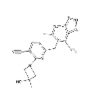 Cc1nc2nonc2c(N)c1Cc1ccc(C#N)c(N2CC(C)(O)C2)n1